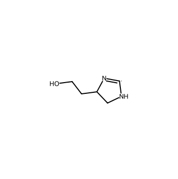 OCCC1CN[C]=N1